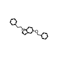 c1ccc(CCn2ccc3cc(OCc4ccccc4)ccc32)cc1